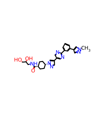 Cn1cc(-c2cccc(-c3ncc(-c4cnn([C@H]5CC[C@H](C(=O)NCC(O)CO)CC5)c4)cn3)c2)cn1